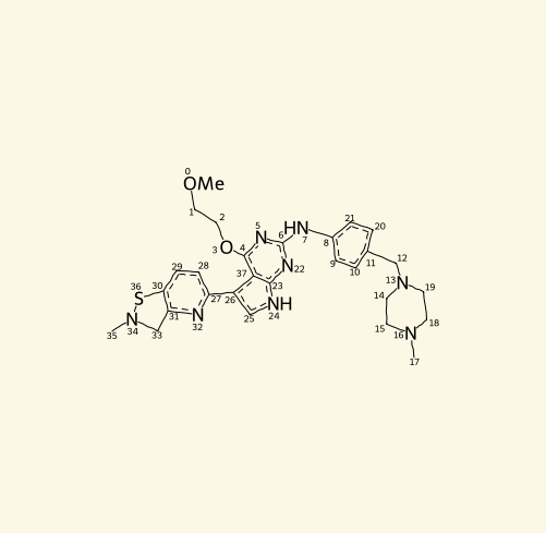 COCCOc1nc(Nc2ccc(CN3CCN(C)CC3)cc2)nc2[nH]cc(-c3ccc4c(n3)CN(C)S4)c12